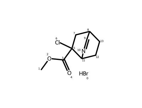 Br.COC(=O)C1(Cl)CC2C=NC1CC2